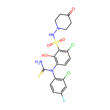 NC(=S)N(c1ccc(F)cc1Cl)c1ccc(Cl)c(S(=O)(=O)NN2CCC(=O)CC2)c1O